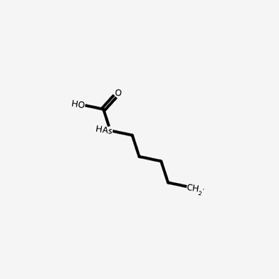 [CH2]CCCC[AsH]C(=O)O